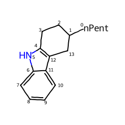 CCCCCC1CCc2[nH]c3ccccc3c2C1